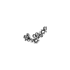 O=C(O)N(CCOc1ccc(Cl)cc1)C1=CN(CCOC(F)(F)C(F)F)CC=C1